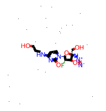 [N-]=[N+]=N[C@]1(CO)O[C@@H](n2ccc(NCCCO)nc2=O)[C@@H](F)C1O